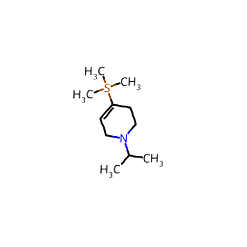 CC(C)N1CC=C(S(C)(C)C)CC1